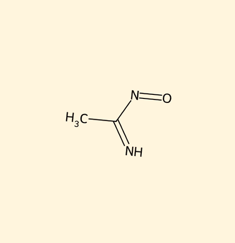 CC(=N)N=O